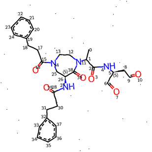 CC(C(=O)N[C@H](C=O)CC=O)N1CCN(C(=O)CCc2ccccc2)C[C@H](NC(=O)CCc2ccccc2)C1=O